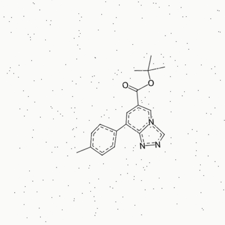 Cc1ccc(-c2cc(C(=O)OC(C)(C)C)cn3cnnc23)cc1